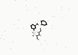 CCCC(C)C(CC)N(O)S(=O)(=O)c1cccc(C(=O)Nc2ccccc2)c1